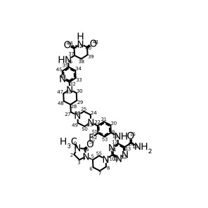 CN1CCN([C@@H]2CCCN(c3nnc(C(N)=O)c(Nc4ccc(N5CCN(CC6CCN(c7ccc(NC8CCC(=O)NC8=O)cn7)CC6)CC5)c(F)c4)n3)C2)C1=O